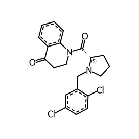 O=C1CCN(C(=O)[C@@H]2CCCN2Cc2cc(Cl)ccc2Cl)c2ccccc21